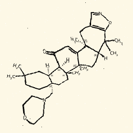 CC1(C)CC[C@]2(CN3CCOCC3)CC[C@]3(C)[C@H](C(=O)C=C4[C@@]5(C)Cc6cnoc6C(C)(C)[C@@H]5CC[C@]43C)[C@@H]2C1